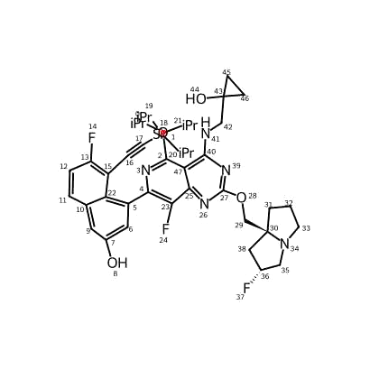 CC(C)Oc1nc(-c2cc(O)cc3ccc(F)c(C#C[Si](C(C)C)(C(C)C)C(C)C)c23)c(F)c2nc(OC[C@@]34CCCN3C[C@H](F)C4)nc(NCC3(O)CC3)c12